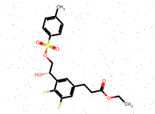 CCOC(=O)CCc1cc(F)c(F)c([C@H](O)COS(=O)(=O)c2ccc(C)cc2)c1